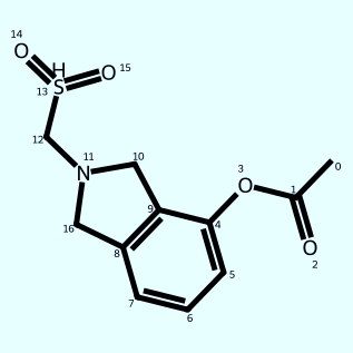 CC(=O)Oc1cccc2c1CN(C[SH](=O)=O)C2